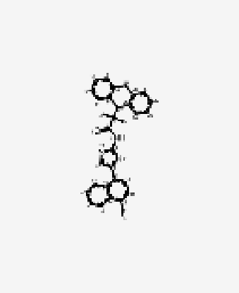 CC(C)(C(=O)Nc1nc(-c2ccc(F)c3ccccc23)cs1)C1c2ccccc2Cc2ccccc21